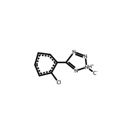 [CH2-][NH+]1N=NC(c2ccccc2Cl)=N1